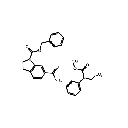 CC(C)(C)OC(=O)N(CC(=O)O)c1ccccc1.NC(=O)c1ccc2c(c1)N(C(=O)OCc1ccccc1)CC2